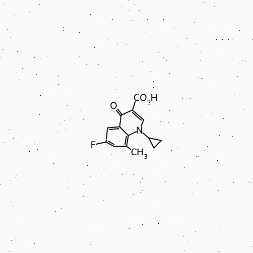 Cc1cc(F)cc2c(=O)c(C(=O)O)cn(C3CC3)c12